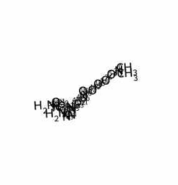 CN(C)CCOCCOCCOCCOCCC(=O)N1CCc2cc(Cn3nc(-c4ccc5oc(N)nc5c4)c4c(N)ncnc43)ccc2C1